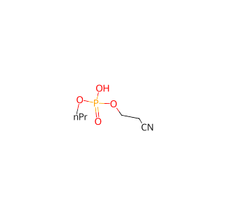 CCCOP(=O)(O)OCCC#N